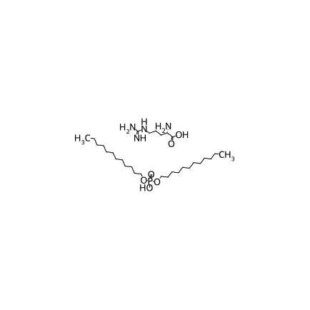 CCCCCCCCCCCCOP(=O)(O)OCCCCCCCCCCCC.N=C(N)NCCC[C@H](N)C(=O)O